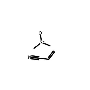 C=CC#N.C[S+](C)[O-]